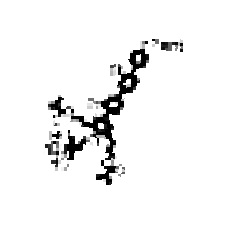 C=C(C)C(=O)OCCCc1cc(-c2ccc(-c3ccc(-c4ccc(CCCCC)cc4)c(CC)c3)cc2CC)cc(CCCOC(=O)C(=C)C)c1OCCC(CO)(CO)CCCC